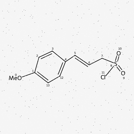 COc1ccc(C=CCS(=O)(=O)Cl)cc1